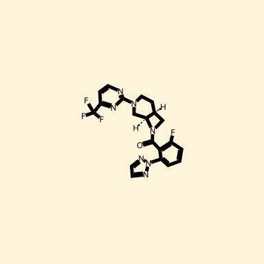 O=C(c1c(F)cccc1-n1nccn1)N1C[C@@H]2CCN(c3nccc(C(F)(F)F)n3)C[C@@H]21